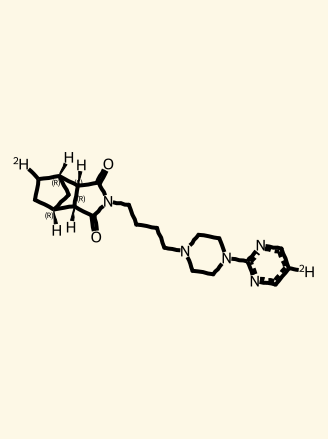 [2H]c1cnc(N2CCN(CCCCN3C(=O)[C@@H]4[C@@H]5CC([2H])[C@@H](C5)[C@@H]4C3=O)CC2)nc1